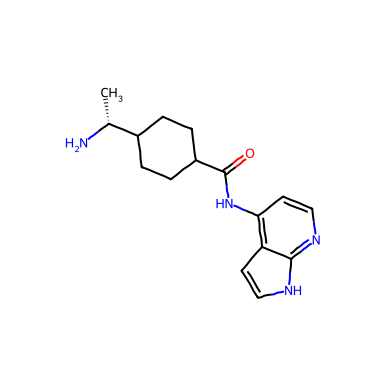 C[C@@H](N)C1CCC(C(=O)Nc2ccnc3[nH]ccc23)CC1